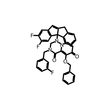 O=C1c2c(OCc3ccccc3)c(=O)ccn2N(C23C(=Cc4cc(F)c(F)cc42)Cc2ccccc23)CN1Cc1cccc(F)c1